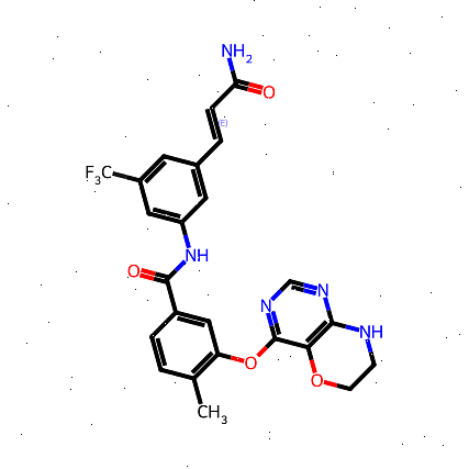 Cc1ccc(C(=O)Nc2cc(/C=C/C(N)=O)cc(C(F)(F)F)c2)cc1Oc1ncnc2c1OCCN2